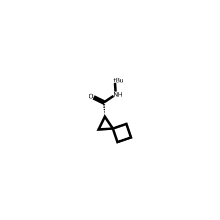 CC(C)(C)NC(=O)[C@H]1CC12CCC2